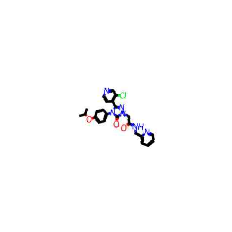 CC(C)Oc1ccc(-n2c(-c3ccncc3Cl)nn(CC(=O)NCc3ccccn3)c2=O)cc1